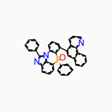 O=P1(c2ccccc2)c2c(-c3cc4ccccc4c4ncccc34)cccc2-n2c(-c3ccccc3)nc3cccc1c32